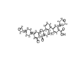 O=C(O)c1cc(F)c(-c2cccc3c2OCN(C(=O)c2c(Cl)cc(N4CCN(C5COC5)CC4)cc2Cl)C3)cc1N1CCOCC1